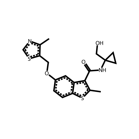 Cc1ncsc1COc1ccc2sc(C)c(C(=O)NC3(CO)CC3)c2c1